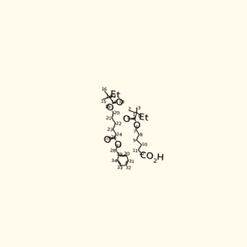 CCC(C)(C)C(=O)OCCCCCC(=O)O.CCC(C)(C)C(=O)OCCCCCC(=O)OCc1ccccc1